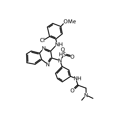 COc1ccc(Cl)c(Nc2nc3ccccc3nc2N(c2cccc(NC(=O)CN(C)C)c2)[SH](=O)=O)c1